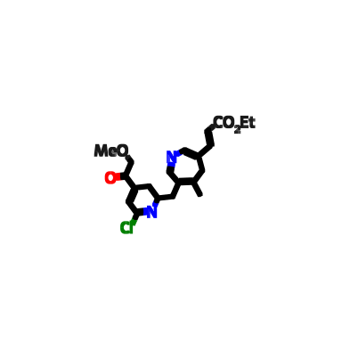 CCOC(=O)/C=C/C1=CN=CC(CC2CC(C(=O)COC)=CC(Cl)=N2)=C(C)C1